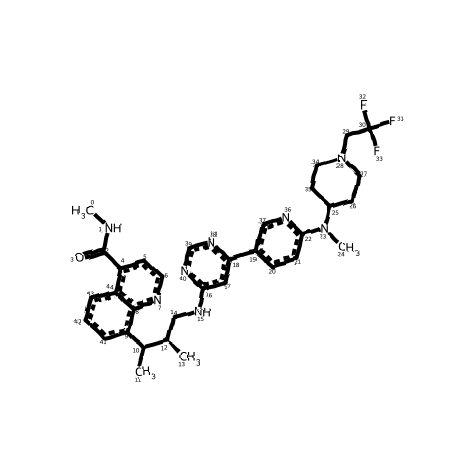 CNC(=O)c1ccnc2c(C(C)[C@H](C)CNc3cc(-c4ccc(N(C)C5CCN(CC(F)(F)F)CC5)nc4)ncn3)cccc12